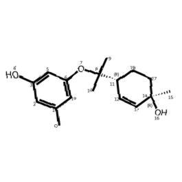 Cc1cc(O)cc(OC(C)(C)[C@H]2C=C[C@](C)(O)CC2)c1